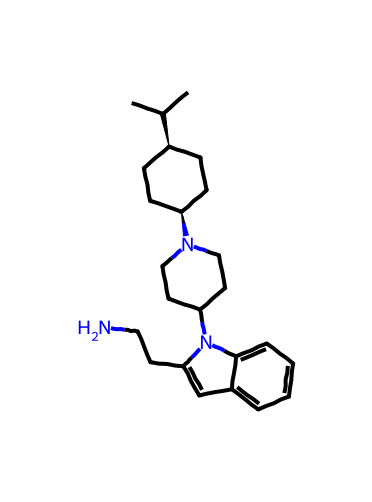 CC(C)[C@H]1CC[C@@H](N2CCC(n3c(CCN)cc4ccccc43)CC2)CC1